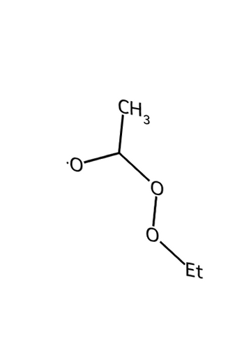 CCOOC(C)[O]